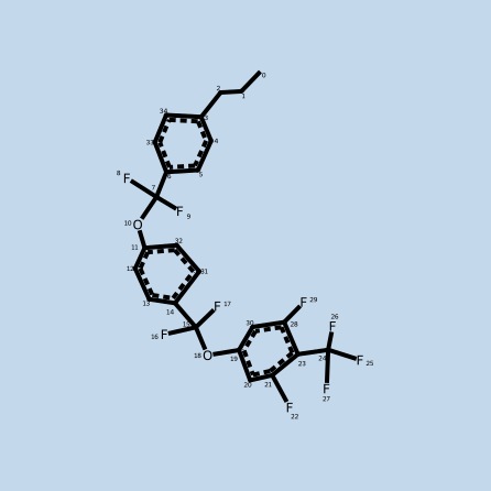 CCCc1ccc(C(F)(F)Oc2ccc(C(F)(F)Oc3cc(F)c(C(F)(F)F)c(F)c3)cc2)cc1